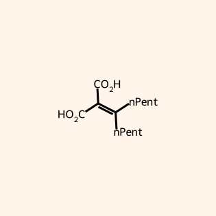 CCCCCC(CCCCC)=C(C(=O)O)C(=O)O